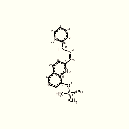 CC(C)(C)[Si](C)(C)Oc1cccc2ccc(/C=N\Nc3ccccn3)nc12